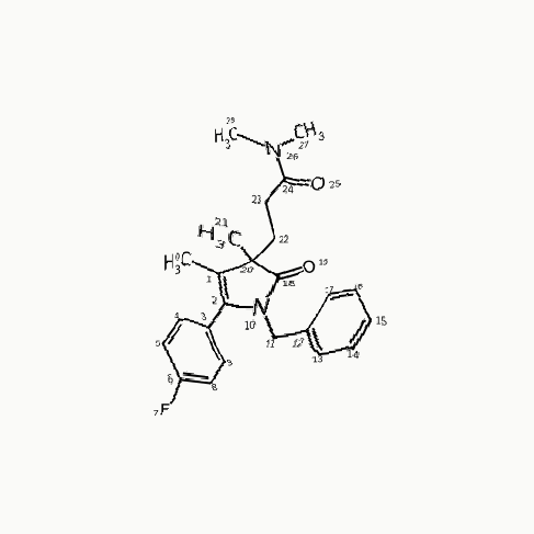 CC1=C(c2ccc(F)cc2)N(Cc2ccccc2)C(=O)C1(C)CCC(=O)N(C)C